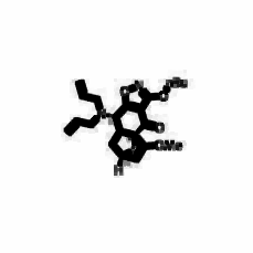 C=CCN(CC=C)[C@@H]1c2onc(OCCCC)c2C(=O)[C@]23O[C@H](C=C2OC)CC13